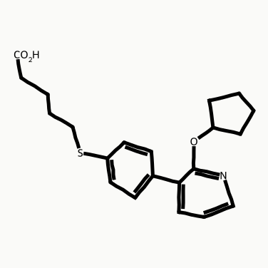 O=C(O)CCCCSc1ccc(-c2cccnc2OC2CCCC2)cc1